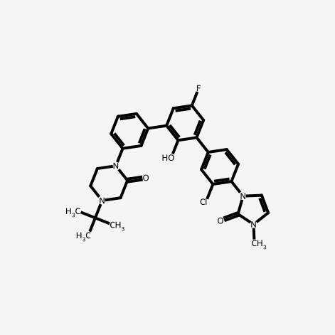 Cn1ccn(-c2ccc(-c3cc(F)cc(-c4cccc(N5CCN(C(C)(C)C)CC5=O)c4)c3O)cc2Cl)c1=O